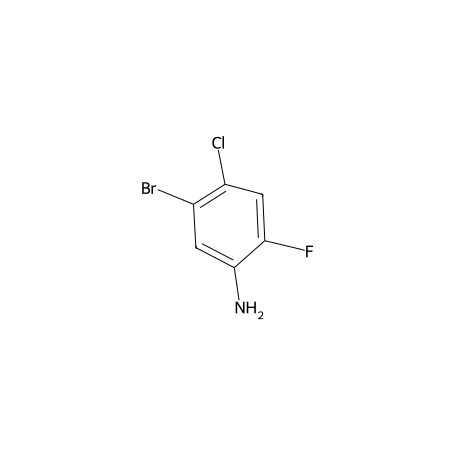 Nc1cc(Br)c(Cl)cc1F